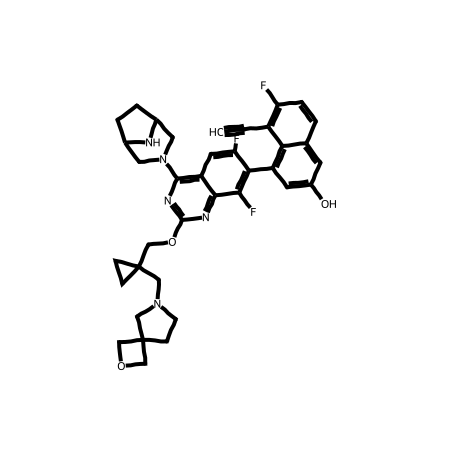 C#Cc1c(F)ccc2cc(O)cc(-c3c(F)cc4c(N5CC6CCC(C5)N6)nc(OCC5(CN6CCC7(COC7)C6)CC5)nc4c3F)c12